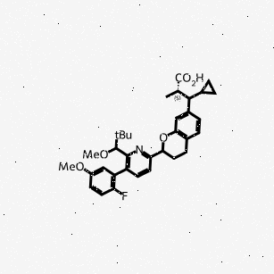 COc1ccc(F)c(-c2ccc(C3CCc4ccc(C(C5CC5)[C@H](C)C(=O)O)cc4O3)nc2C(OC)C(C)(C)C)c1